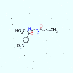 C=CCCC(=O)NCc1nc(C(=O)O)c(-c2ccc([N+](=O)[O-])cc2)o1